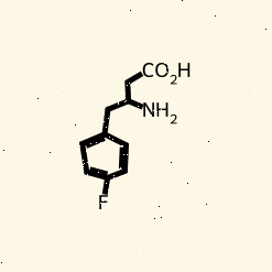 NC(CC(=O)O)Cc1ccc(F)cc1